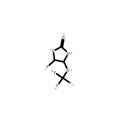 O=C1OC(F)C(OC(F)(F)F)O1